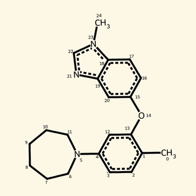 Cc1c[c]c(N2CCCCCC2)cc1Oc1ccc2c(c1)ncn2C